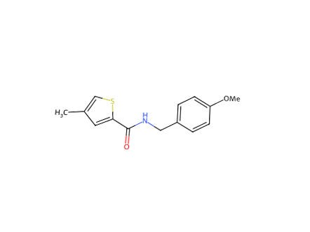 COc1ccc(CNC(=O)c2cc(C)cs2)cc1